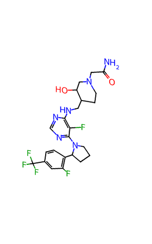 NC(=O)CN1CCC(CNc2ncnc(N3CCCC3c3ccc(C(F)(F)F)cc3F)c2F)C(O)C1